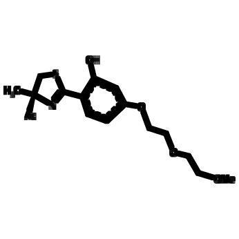 COCCOCCOc1ccc(C2=N[C@@](C)(C(C)=O)CS2)c(O)c1